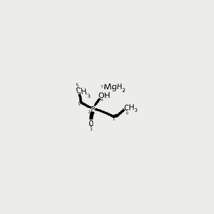 CCP(=O)(O)CC.[MgH2]